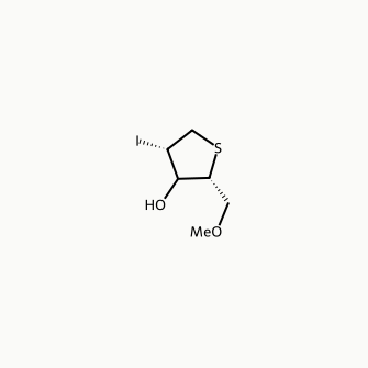 COC[C@H]1SC[C@@H](I)C1O